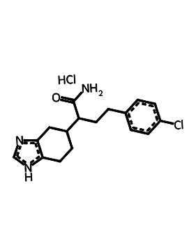 Cl.NC(=O)C(CCc1ccc(Cl)cc1)C1CCc2[nH]cnc2C1